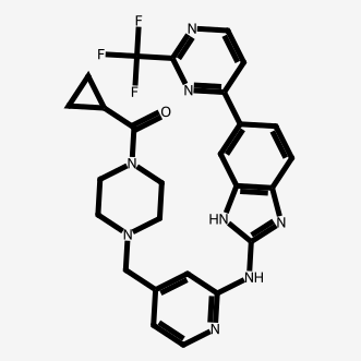 O=C(C1CC1)N1CCN(Cc2ccnc(Nc3nc4ccc(-c5ccnc(C(F)(F)F)n5)cc4[nH]3)c2)CC1